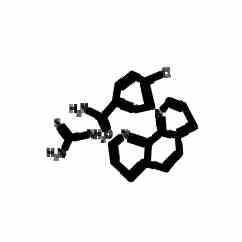 NC(=O)c1ccc(Cl)cc1.NC(N)=S.c1cnc2c(c1)ccc1cccnc12